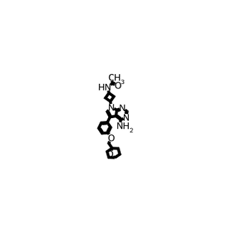 CC(=O)NC1CC(n2cc(-c3cccc(OCC45CCC(CC4)O5)c3)c3c(N)ncnc32)C1